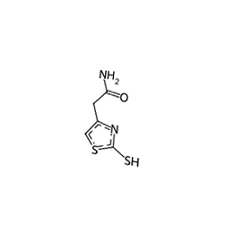 NC(=O)Cc1csc(S)n1